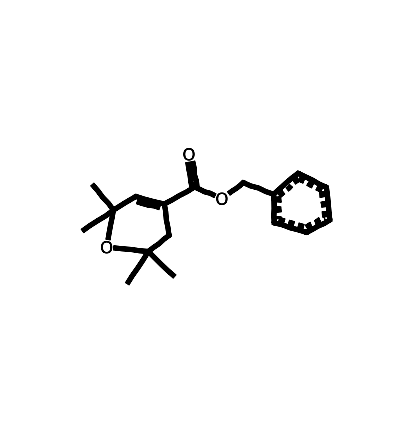 CC1(C)C=C(C(=O)OCc2ccccc2)CC(C)(C)O1